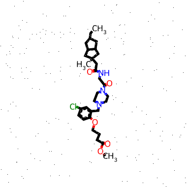 CCC1CC2CC(C)(CC(=O)NCC(=O)N3CCN(Cc4cc(Cl)ccc4OCCCC(=O)OC)CC3)CC2C1